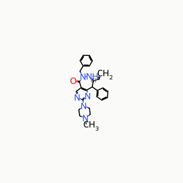 C=C[C@@H]1NN(Cc2ccccc2)C(=O)c2cnc(N3CCN(C)CC3)nc2C1c1ccccc1